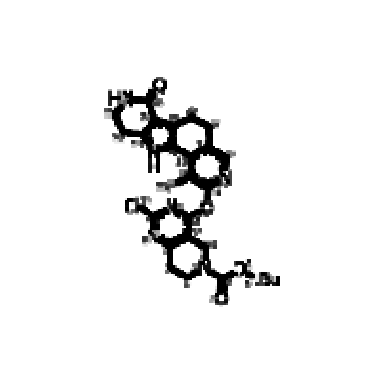 CC(C)(C)OC(=O)N1CCc2nc(Cl)nc(Oc3ncc4c(c3F)-c3[nH]c5c(c3CC4)C(=O)NCC5)c2C1